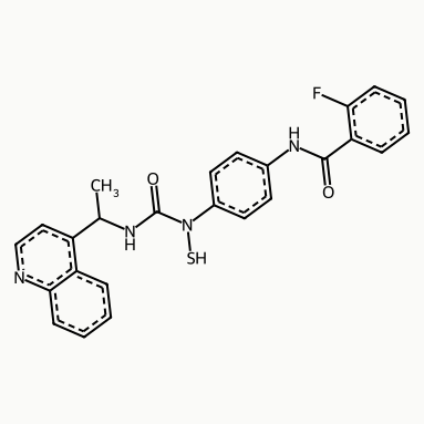 CC(NC(=O)N(S)c1ccc(NC(=O)c2ccccc2F)cc1)c1ccnc2ccccc12